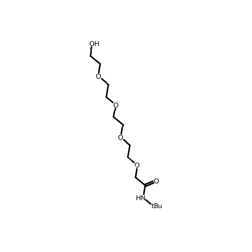 CC(C)(C)NC(=O)COCCOCCOCCOCCO